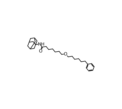 O=C(CCCCCCOCCCCCCc1ccccc1)NC12CC3CC(CC(C3)C1)C2